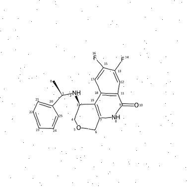 C[C@@H](N[C@@H]1COCc2[nH]c(=O)c3cc(F)c(F)cc3c21)c1ccccc1